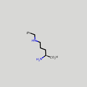 CC(C)CNCCC[C@H](N)C(=O)O